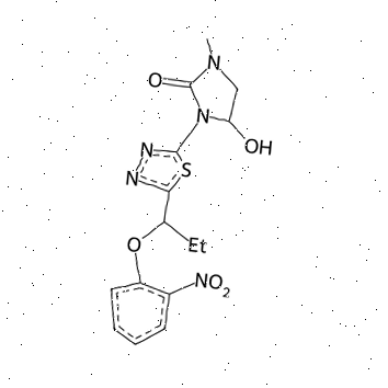 CCC(Oc1ccccc1[N+](=O)[O-])c1nnc(N2C(=O)N(C)CC2O)s1